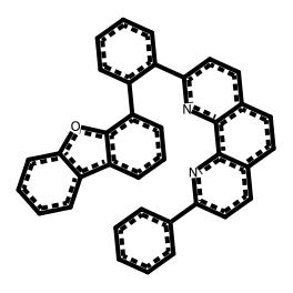 c1ccc(-c2ccc3ccc4ccc(-c5ccccc5-c5cccc6c5oc5ccccc56)nc4c3n2)cc1